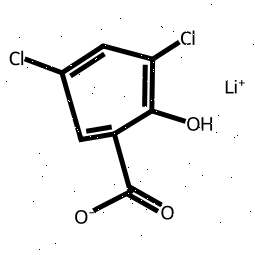 O=C([O-])c1cc(Cl)cc(Cl)c1O.[Li+]